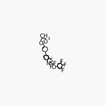 CC1COC(C2=CCC(c3ccc4nc(C(F)(F)Oc5cc(F)c(F)c(F)c5)sc4c3)CC2)OC1